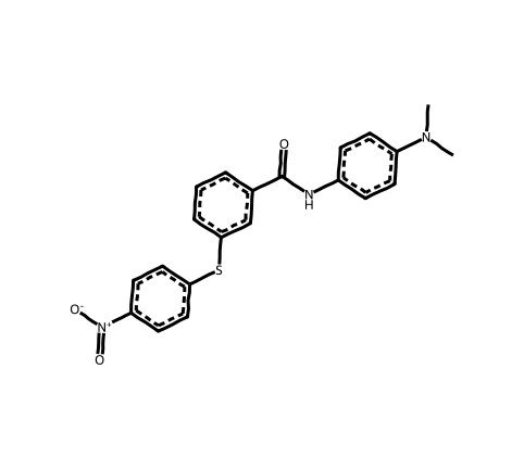 CN(C)c1ccc(NC(=O)c2cccc(Sc3ccc([N+](=O)[O-])cc3)c2)cc1